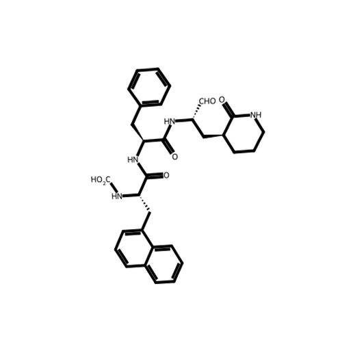 O=C[C@H](C[C@@H]1CCCNC1=O)NC(=O)[C@H](Cc1ccccc1)NC(=O)[C@H](Cc1cccc2ccccc12)NC(=O)O